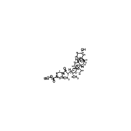 C[C@H](CCC(=O)N1CCN(C(=O)OC(C)(C)C)C[C@@H]1C)[C@H]1CC[C@H]2[C@@H]3CC=C4C[C@@H](O)CC[C@]4(C)[C@H]3CC[C@]12C